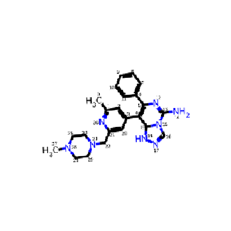 Cc1cc(C2=C(c3ccccc3)N=C(N)N3C=NNC23)cc(CN2CCN(C)CC2)n1